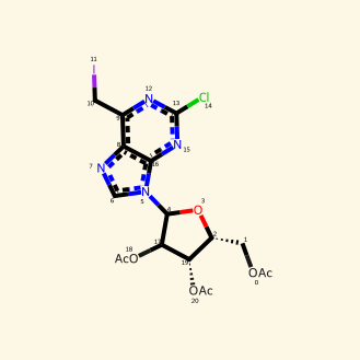 CC(=O)OC[C@H]1OC(n2cnc3c(CI)nc(Cl)nc32)C(OC(C)=O)[C@H]1OC(C)=O